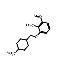 COc1cccc(OCC2CCC(C(=O)O)CC2)c1C=O